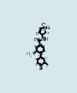 Cc1ccc(-c2ccc(C(=O)NC3C=CS(=O)(=O)C3)cc2N)cc1C